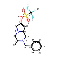 CC1CN2CC(OS(=O)(=O)C(F)(F)F)=CC2CN1Cc1ccccc1